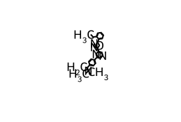 C=C(c1ccc(-c2cncc(-c3nnc(-c4ccccc4CC)o3)n2)cc1)N(C)C